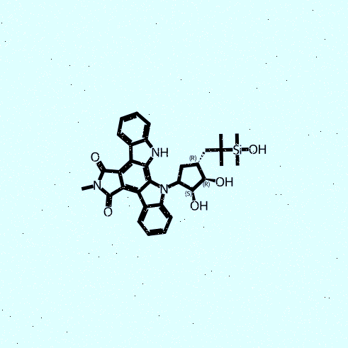 CN1C(=O)c2c(c3c4ccccc4n(C4C[C@H](CC(C)(C)[Si](C)(C)O)[C@@H](O)[C@H]4O)c3c3[nH]c4ccccc4c23)C1=O